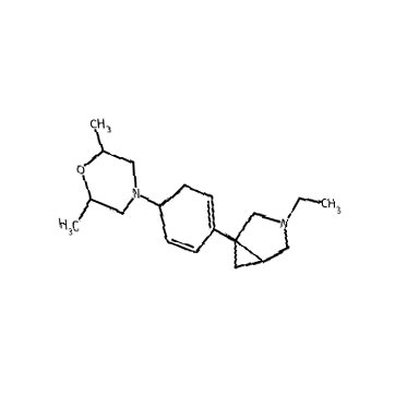 CCN1CC2CC2(C2=CCC(N3CC(C)OC(C)C3)C=C2)C1